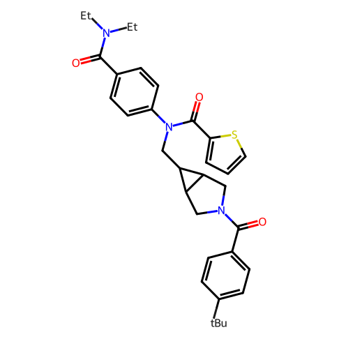 CCN(CC)C(=O)c1ccc(N(CC2C3CN(C(=O)c4ccc(C(C)(C)C)cc4)CC32)C(=O)c2cccs2)cc1